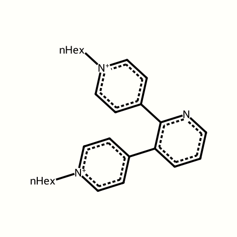 CCCCCC[n+]1ccc(-c2cccnc2-c2cc[n+](CCCCCC)cc2)cc1